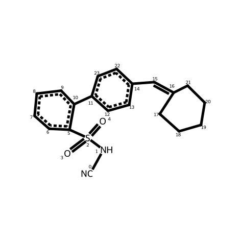 N#CNS(=O)(=O)c1ccccc1-c1ccc(C=C2CCCCC2)cc1